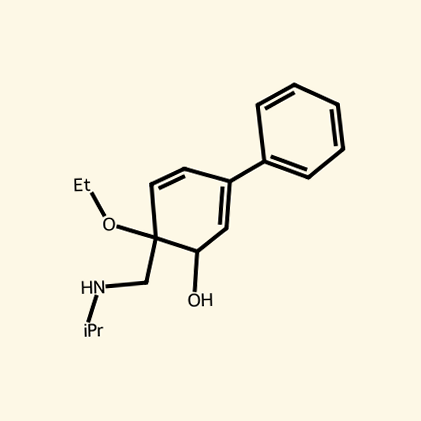 CCOC1(CNC(C)C)C=CC(c2ccccc2)=CC1O